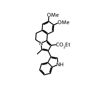 CCOC(=O)c1c(-c2c[nH]c3ccccc23)c(C)n2c1-c1cc(OC)c(OC)cc1CC2